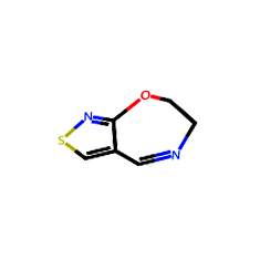 C1=NCCOc2nscc21